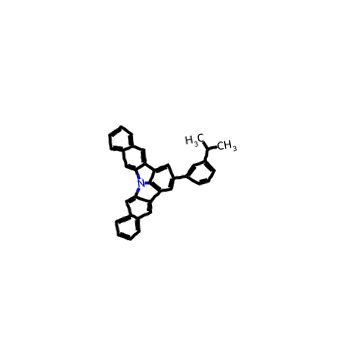 CC(C)c1cccc(-c2cc3c4cc5ccccc5cc4n4c5cc6ccccc6cc5c(c2)c34)c1